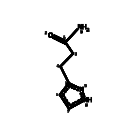 NC(=O)C[CH]c1cc[nH]n1